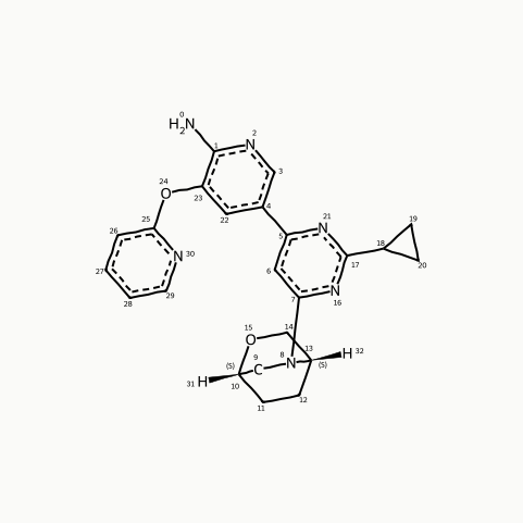 Nc1ncc(-c2cc(N3C[C@@H]4CC[C@H]3CO4)nc(C3CC3)n2)cc1Oc1ccccn1